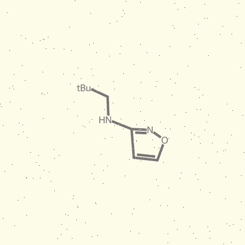 CC(C)(C)CNc1ccon1